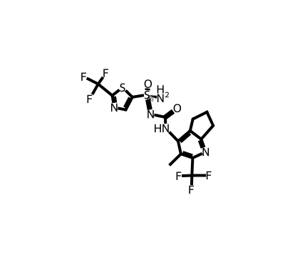 Cc1c(C(F)(F)F)nc2c(c1NC(=O)N=[S@@](N)(=O)c1cnc(C(F)(F)F)s1)CCC2